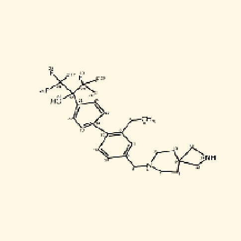 CCc1cc(CN2CCC3(CC2)CNC3)ccc1-c1ccc(C(O)(C(F)(F)F)C(F)(F)F)cc1